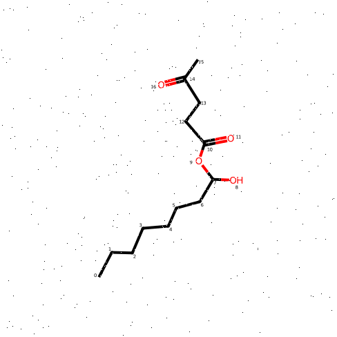 CCCCCCCC(O)OC(=O)CCC(C)=O